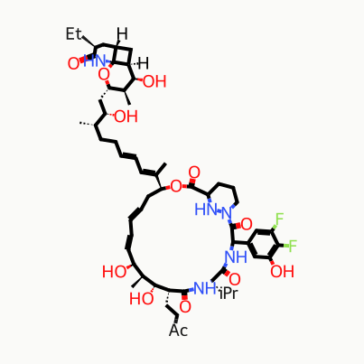 CC[C@H]1C[C@@H]2C[C@H]3[C@@H](O)[C@@H](C)[C@H](C[C@H](O)[C@@H](C)CC/C=C/C=C(\C)[C@@H]4C/C=C/C=C/[C@H](O)[C@H](C)[C@@H](O)[C@@H](CCC(C)=O)C(=O)N[C@@H](C(C)C)C(=O)NC(c5cc(O)c(F)c(F)c5)C(=O)N5CCCC(N5)C(=O)O4)O[C@]23NC1=O